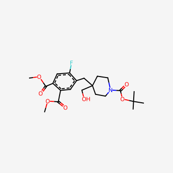 COC(=O)c1cc(F)c(CC2(CO)CCN(C(=O)OC(C)(C)C)CC2)cc1C(=O)OC